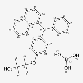 CC(C)(O)C(C)(C)Oc1ccc(N(c2ccccc2)c2cccc3ccccc23)cc1.OB(O)O